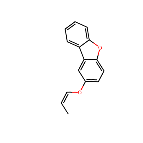 C/C=C\Oc1ccc2oc3ccccc3c2c1